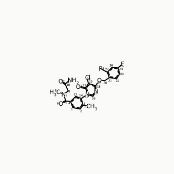 Cc1ccc(C(=O)N(C)CC(N)=O)cc1-n1cnc(OCc2ccc(F)cc2F)c(Cl)c1=O